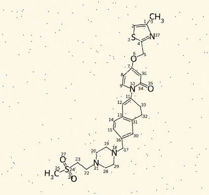 Cc1csc(COc2ccn(C3=Cc4ccc(CN5CCN(CCS(C)(=O)=O)CC5)cc4CC3)c(=O)c2)n1